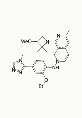 CCOc1cc(-c2nncn2C)ccc1NN1C=Cc2cc(C)nc(N3CC(OC)C3(C)C)c2C1